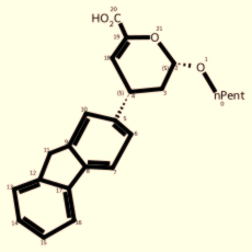 CCCCCO[C@@H]1C[C@H](c2ccc3c(c2)Cc2ccccc2-3)C=C(C(=O)O)O1